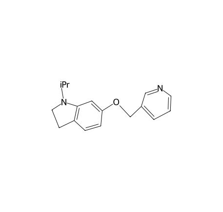 CC(C)N1CCc2ccc(OCc3cccnc3)cc21